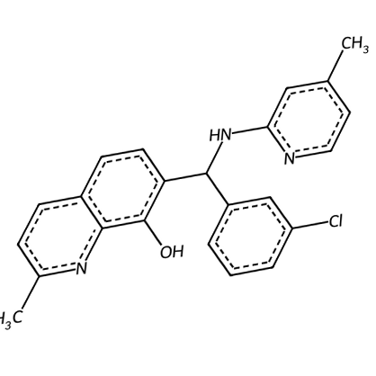 Cc1ccnc(NC(c2cccc(Cl)c2)c2ccc3ccc(C)nc3c2O)c1